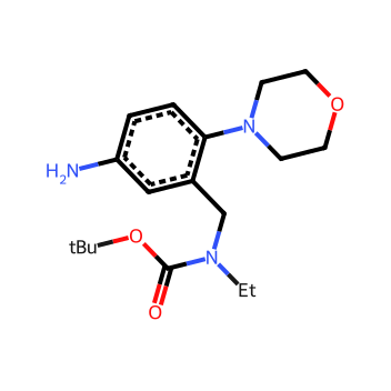 CCN(Cc1cc(N)ccc1N1CCOCC1)C(=O)OC(C)(C)C